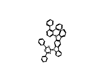 c1ccc(-c2nc(-c3ccccc3)nc(-n3c4ccccc4c4cc5c6ccccc6n(-c6cccc(-c7ccccc7)c6-c6ccccc6)c5cc43)n2)cc1